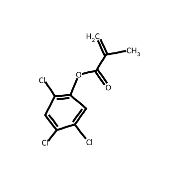 C=C(C)C(=O)Oc1cc(Cl)c(Cl)cc1Cl